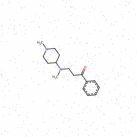 CN1CCC(N(C)CCC(=O)c2ccccc2)CC1